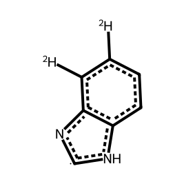 [2H]c1ccc2[nH][c]nc2c1[2H]